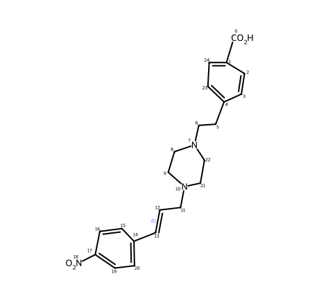 O=C(O)c1ccc(CCN2CCN(C/C=C/c3ccc([N+](=O)[O-])cc3)CC2)cc1